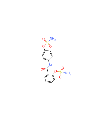 NS(=O)(=O)Oc1ccc(NC(=O)c2ccccc2OS(N)(=O)=O)cc1